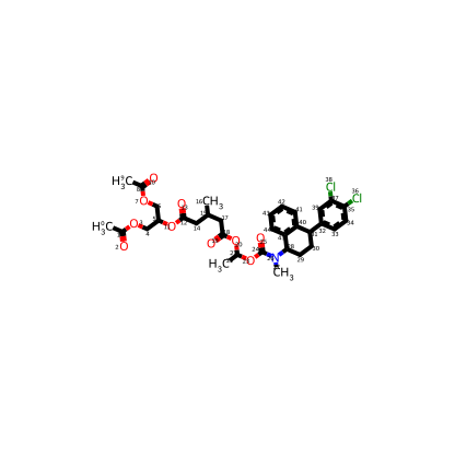 CC(=O)OCC(COC(C)=O)OC(=O)CC(C)CC(=O)OC(C)OC(=O)N(C)C1CCC(c2ccc(Cl)c(Cl)c2)c2ccccc21